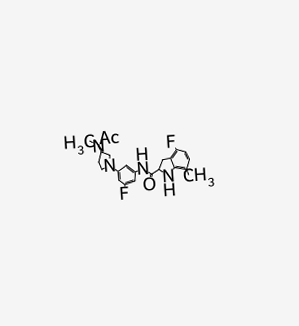 CC(=O)N(C)[C@@H]1CCN(c2cc(F)cc(NC(=O)C3Cc4c(F)ccc(C)c4N3)c2)C1